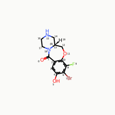 O=C1c2cc(O)c(Br)c(F)c2OC[C@H]2CNCCN12